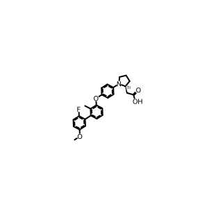 COc1ccc(F)c(-c2cccc(Oc3ccc(N4CCC[C@H]4CC(=O)O)cc3)c2C)c1